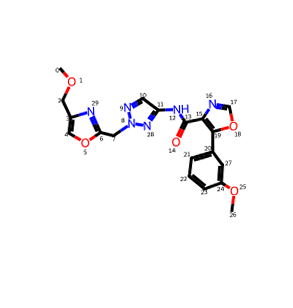 COCc1coc(Cn2ncc(NC(=O)c3ncoc3-c3cccc(OC)c3)n2)n1